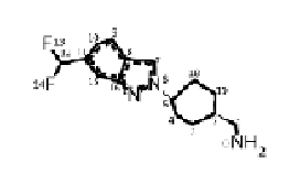 NC[C@H]1CC[C@H](n2cc3ccc(C(F)F)cc3n2)CC1